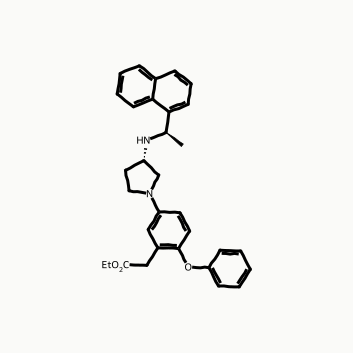 CCOC(=O)Cc1cc(N2CC[C@H](N[C@H](C)c3cccc4ccccc34)C2)ccc1Oc1ccccc1